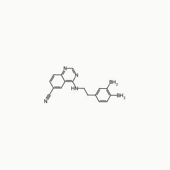 Bc1ccc(CCNc2ncnc3ccc(C#N)cc23)cc1B